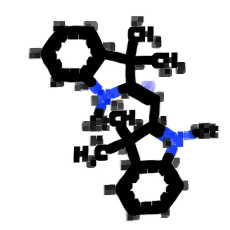 CCN1/C(=C\C2=[N+](CC)c3ccccc3C2(C)C)C(C)(C)c2ccccc21